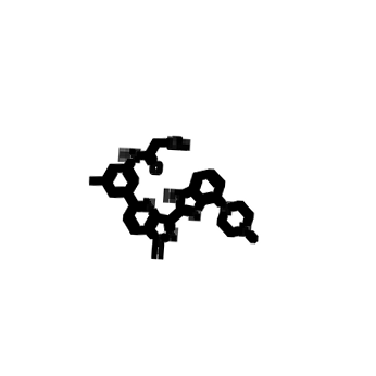 Cc1cc(NC(=O)CC(C)(C)C)cc(-c2ccc3[nH]nc(-c4nc5c(N6CCN(C)CC6)cccc5[nH]4)c3n2)c1